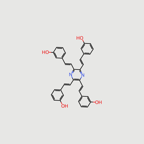 Oc1cccc(/C=C/c2nc(/C=C/c3cccc(O)c3)c(/C=C/c3cccc(O)c3)nc2/C=C/c2cccc(O)c2)c1